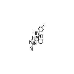 N#Cc1nccc(C2(NC(=O)Nc3ccc(I)cc3)CCCCC2)n1